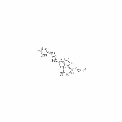 O=C(O)CC1=C2CC=CC=C2N(CC(=O)NCCNc2ccccn2)C(=O)CC1